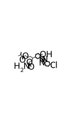 C=C(C)C(=O)OCCC(COC(N)=O)c1ccc(O)c(-n2nc3ccc(Cl)cc3n2)c1